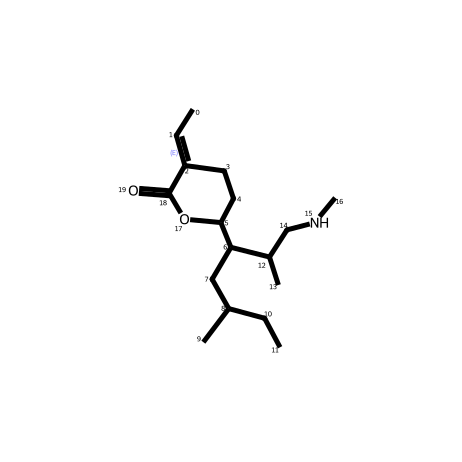 C/C=C1\CCC(C(CC(C)CC)C(C)CNC)OC1=O